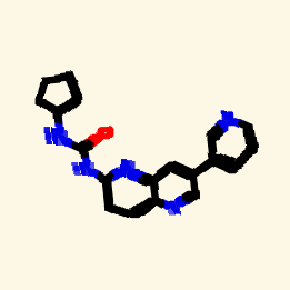 O=C(Nc1ccc2ncc(-c3cccnc3)cc2n1)NC1CCCC1